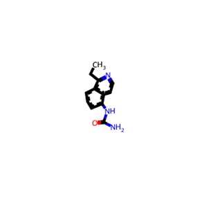 CCc1nccc2c(NC(N)=O)cccc12